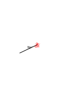 CCCCCCCCCCCCCCCCCCCCCCCCCCC(O)=CCC(=O)[O-].[Na+]